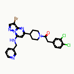 O=C(Cc1ccc(Cl)c(Cl)c1)N1CCC(c2cc(NCc3cccnc3)n3ncc(Br)c3n2)CC1